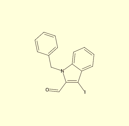 O=Cc1c(I)c2ccccc2n1Cc1ccccc1